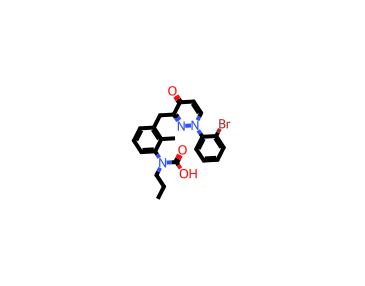 CCCN(C(=O)O)c1cccc(Cc2nn(-c3ccccc3Br)ccc2=O)c1C